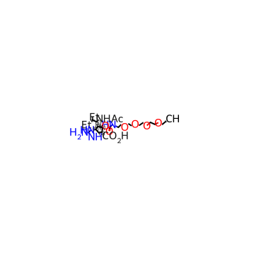 C#CCOCCOCCOCCOCCNC(=O)O[C@H]1[C@@H]([C@@H](NC(C)=O)C(CC)CC)[C@H](NC(=N)N)C[C@@H]1C(=O)O